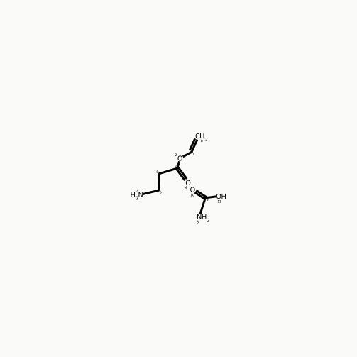 C=COC(=O)CCN.NC(=O)O